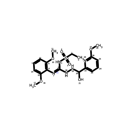 CCS(=O)(=O)N/C(=N\c1c(OC)cccc1OC)NNC(O)c1cccc(OC)n1